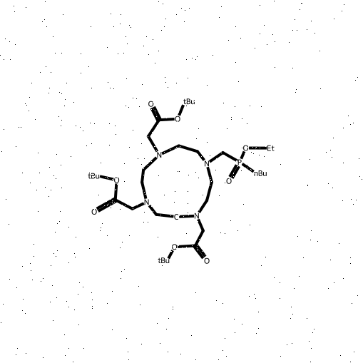 CCCCP(=O)(CN1CCN(CC(=O)OC(C)(C)C)CCN(CC(=O)OC(C)(C)C)CCN(CC(=O)OC(C)(C)C)CC1)OCC